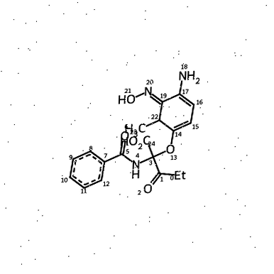 CCC(=O)C(NC(=O)c1ccccc1)(OC1=CC=C(N)C(=NO)C1C)C(=O)O